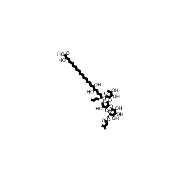 CCCC[C@H](CCC[C@H](O)[C@H](O)CCCCCCCCCCCCCC[C@@H](O)C(=O)O)O[C@H]1OC[C@H](O)[C@@H](O)[C@@H]1O[C@H]1OC[C@H](O)[C@@H](O)[C@@H]1O[C@H]1O[C@@H](COC(=O)CC(C)C)[C@H](O)[C@@H](O)[C@@H]1O